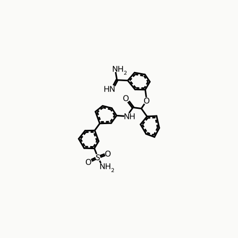 N=C(N)c1cccc(OC(C(=O)Nc2cccc(-c3cccc(S(N)(=O)=O)c3)c2)c2ccccc2)c1